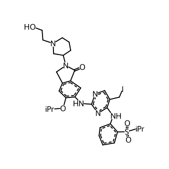 CC(C)Oc1cc2c(cc1Nc1ncc(CI)c(Nc3ccccc3S(=O)(=O)C(C)C)n1)C(=O)N(C1CCCN(CCO)C1)C2